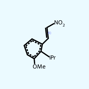 COc1cccc(/C=C/[N+](=O)[O-])c1C(C)C